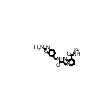 CC(C)NC(=O)c1cccn2cc(C(=O)NCc3ccc4nc(N)sc4c3)nc12